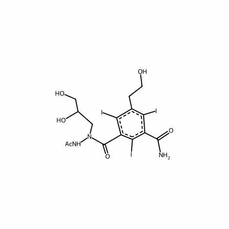 CC(=O)NN(CC(O)CO)C(=O)c1c(I)c(CCO)c(I)c(C(N)=O)c1I